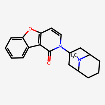 CN1C2CCCC1CC(n1ccc3oc4ccccc4c3c1=O)C2